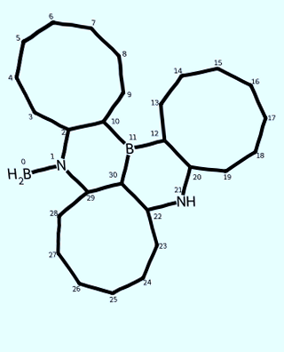 BN1C2CCCCCCCC2B2C3CCCCCCCC3NC3CCCCCCC1C23